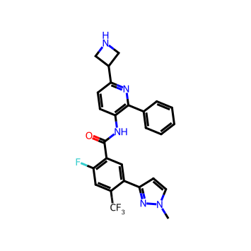 Cn1ccc(-c2cc(C(=O)Nc3ccc(C4CNC4)nc3-c3ccccc3)c(F)cc2C(F)(F)F)n1